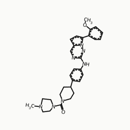 COc1ccccc1-c1ccc2cnc(Nc3ccc(C4CCN(C(=O)N5CCN(C)CC5)CC4)cc3)nn12